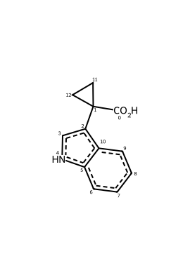 O=C(O)C1(c2c[nH]c3ccccc23)CC1